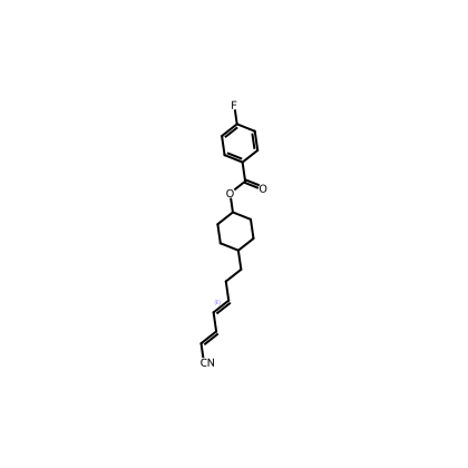 N#CC=C/C=C/CCC1CCC(OC(=O)c2ccc(F)cc2)CC1